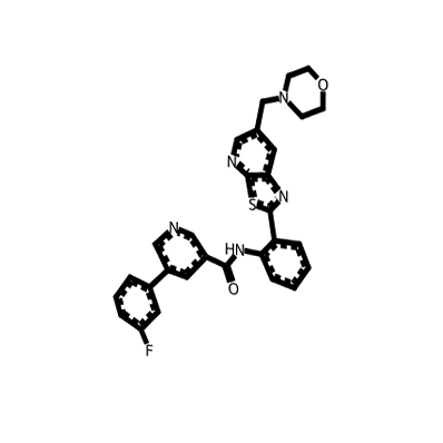 O=C(Nc1ccccc1-c1nc2cc(CN3CCOCC3)cnc2s1)c1cncc(-c2cccc(F)c2)c1